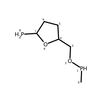 CPOCC1CCC(P)O1